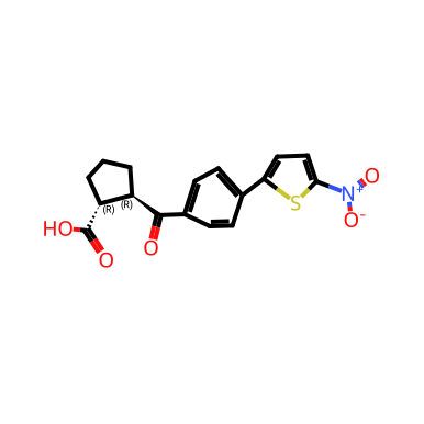 O=C(O)[C@@H]1CCC[C@H]1C(=O)c1ccc(-c2ccc([N+](=O)[O-])s2)cc1